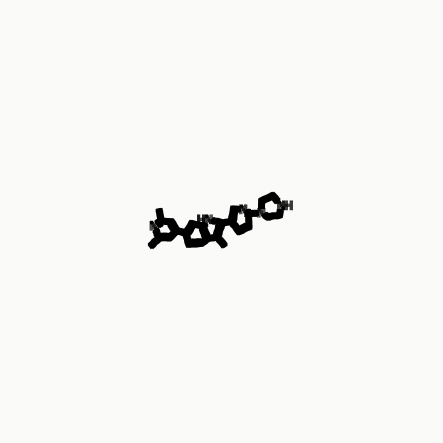 Cc1cc(-c2ccc3c(C)c(-c4ccc(N5CCNCC5)nc4)[nH]c3c2)cc(C)n1